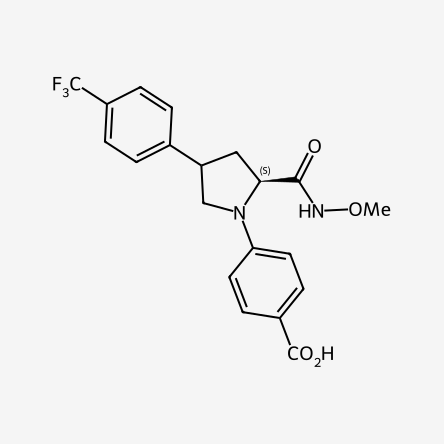 CONC(=O)[C@@H]1CC(c2ccc(C(F)(F)F)cc2)CN1c1ccc(C(=O)O)cc1